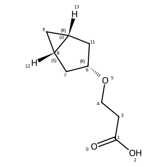 O=C(O)CCO[C@@H]1C[C@@H]2C[C@@H]2C1